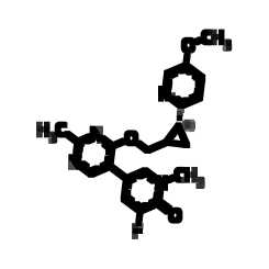 COc1ccc([C@@H]2CC2COc2nc(C)ncc2-c2cc(F)c(=O)n(C)c2)nc1